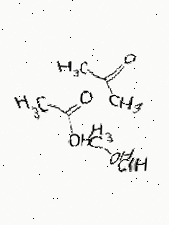 CC(=O)O.CC(C)=O.CO.Cl